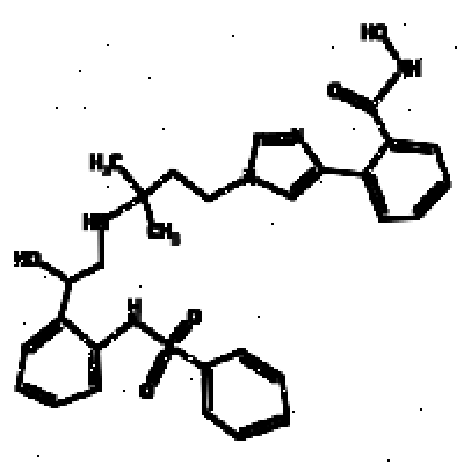 CC(C)(CCn1cnc(-c2ccccc2C(=O)NO)c1)NCC(O)c1ccccc1NS(=O)(=O)c1ccccc1